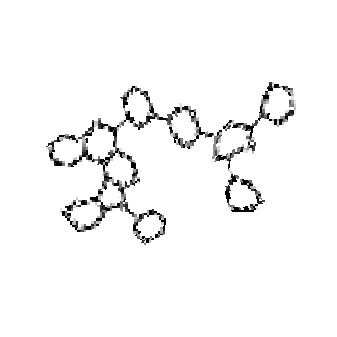 c1ccc(-c2cc(-c3ccc(-c4cccc(-c5nc6ccccc6c6c5ccc5c6c6ccccc6n5-c5ccccc5)c4)cc3)cc(-c3ccccc3)n2)cc1